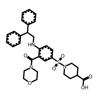 O=C(O)C1CCN(S(=O)(=O)c2ccc(NCC(c3ccccc3)c3ccccc3)c(C(=O)N3CCOCC3)c2)CC1